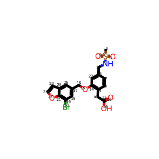 CS(=O)(=O)NCc1ccc(CC(=O)O)c(OCc2cc(Br)c3occc3c2)c1